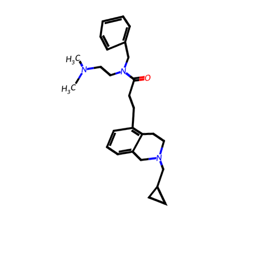 CN(C)CCN(Cc1ccccc1)C(=O)CCc1cccc2c1CCN(CC1CC1)C2